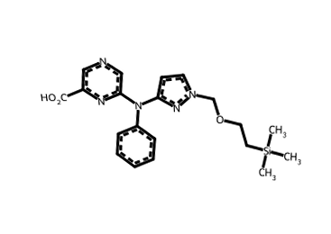 C[Si](C)(C)CCOCn1ccc(N(c2ccccc2)c2cncc(C(=O)O)n2)n1